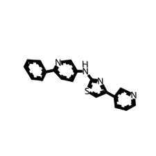 c1ccc(-c2ccc(Nc3nc(-c4cccnc4)cs3)cn2)cc1